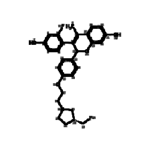 CC1=C(c2ccc(O)cc2F)C(c2ccc(OCCN3CC[C@@H](CF)C3)cc2)Oc2cc(O)ccc21